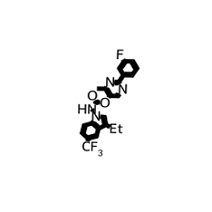 CCc1cn(NC(=O)Oc2cnc(-c3cccc(F)c3)nc2C)c2ccc(C(F)(F)F)cc12